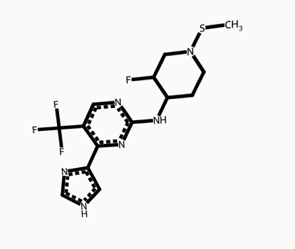 CSN1CCC(Nc2ncc(C(F)(F)F)c(-c3c[nH]cn3)n2)C(F)C1